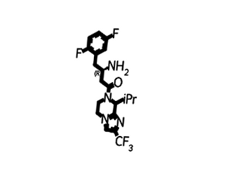 CC(C)C1c2nc(C(F)(F)F)cn2CCN1C(=O)C[C@H](N)Cc1cc(F)ccc1F